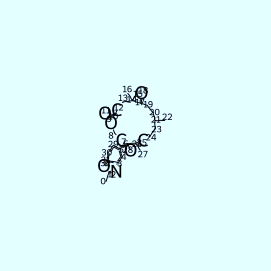 Cc1nc2cc(C34CCOC(=O)CCC(C)(C)C(=O)CCC(C)CCCC3(C)O4)ccc2o1